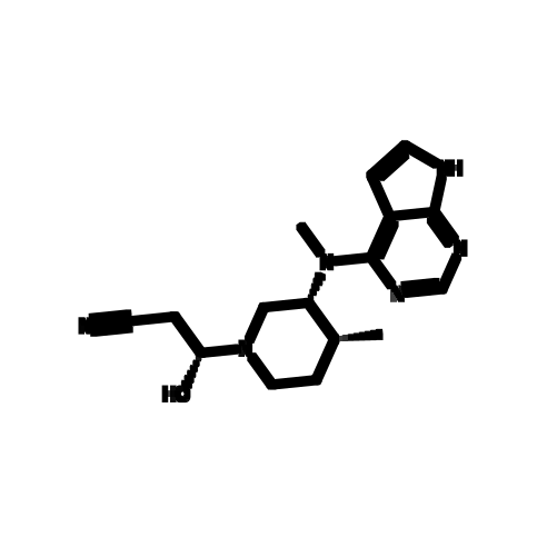 C[C@@H]1CCN([C@H](O)CC#N)C[C@@H]1N(C)c1ncnc2[nH]ccc12